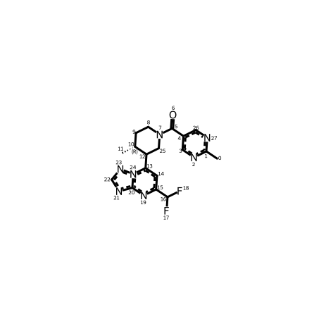 Cc1ncc(C(=O)N2CC[C@@H](C)C(c3cc(C(F)F)nc4ncnn34)C2)cn1